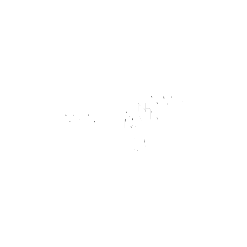 CNc1ncc2c(-c3ccccc3)nn(CC3CCC(NC)CC3)c2n1